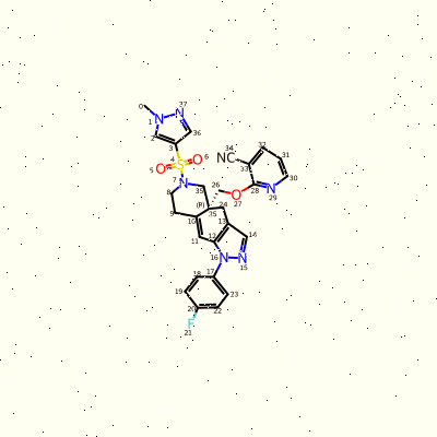 Cn1cc(S(=O)(=O)N2CCC3=Cc4c(cnn4-c4ccc(F)cc4)C[C@]3(COc3ncccc3C#N)C2)cn1